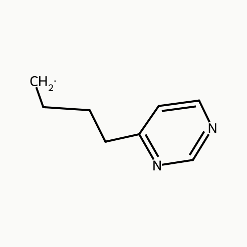 [CH2]CCCc1ccncn1